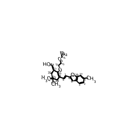 Cc1ccc2cc(/C=C/C3=C(OCCOCC(C)(C)C)C(=C/O)/CC(C)(C)C3)oc2c1